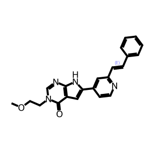 COCCn1cnc2[nH]c(-c3ccnc(/C=C/c4ccccc4)c3)cc2c1=O